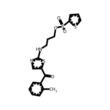 Cc1ccccc1C(=O)c1cnc(NCCCOS(=O)(=O)c2cccs2)s1